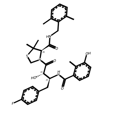 Cc1cccc(C)c1CNC(=O)[C@H]1N(C(=O)[C@@H](O)[C@H](Cc2ccc(F)cc2)NC(=O)c2cccc(O)c2C)CSC1(C)C